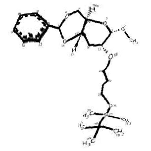 CO[C@H]1O[C@@H]2COC(c3ccccc3)O[C@H]2C[C@H]1OCCCO[Si](C)(C)C(C)(C)C